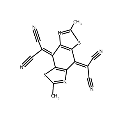 Cc1nc2c(=C(C#N)C#N)c3sc(C)nc3c(=C(C#N)C#N)c2s1